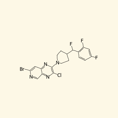 Fc1ccc(C(F)C2CCN(c3nc4cc(Br)ncc4nc3Cl)CC2)c(F)c1